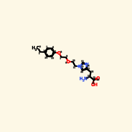 CCc1ccc(OCCOCCn2cnc(C[C@H](N)C(=O)O)c2)cc1